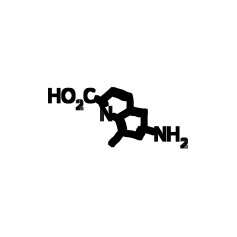 Cc1cc(N)cc2ccc(C(=O)O)nc12